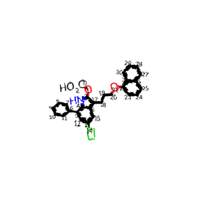 O=C(O)Oc1[nH]c2c(-c3ccccc3)cc(Cl)cc2c1CCCOc1cccc2ccccc12